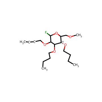 CCCCOC1C(F)OC(COC)[C@H](OCCCC)C1OCCCC